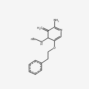 C=C1C(N)=NC=C(OCCc2ccccc2)C1NCCCC